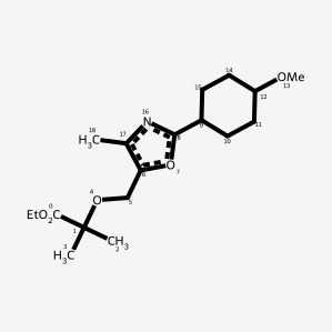 CCOC(=O)C(C)(C)OCc1oc(C2CCC(OC)CC2)nc1C